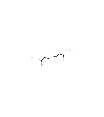 FC(CCOCCC(F)C(F)(F)F)C(F)(F)F